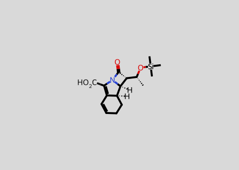 C[C@@H](O[Si](C)(C)C)[C@H]1C(=O)N2C(C(=O)O)=C3C=CCC[C@@H]3[C@H]12